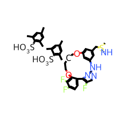 CS(=N)Cc1cc2cc(c1)OCCCCOc1c(ccc(F)c1F)-c1nc(ncc1F)N2.Cc1cc(C)c(S(=O)(=O)O)c(C)c1.Cc1cc(C)c(S(=O)(=O)O)c(C)c1